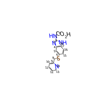 O=C(O)Nc1nc2cc(SCc3ccccn3)ccc2[nH]1